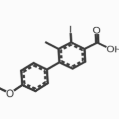 COc1ccc(-c2ccc(C(=O)O)c(I)c2C)cc1